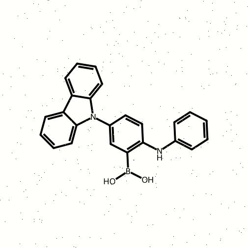 OB(O)c1cc(-n2c3ccccc3c3ccccc32)ccc1Nc1ccccc1